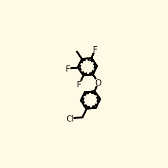 Cc1c(F)cc(Oc2ccc(CCl)cc2)c(F)c1F